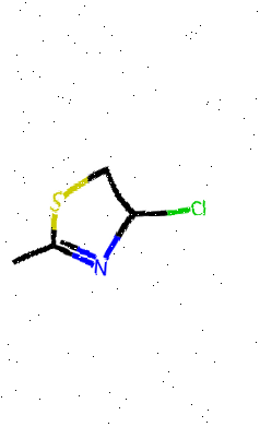 CC1=NC(Cl)CS1